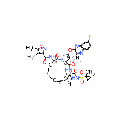 Cc1nc2ccc(F)cc2nc1O[C@@H]1C[C@H]2C(=O)N[C@]3(C(=O)NS(=O)(=O)C4(C)CC4)C[C@H]3/C=C\CCCCC[C@H](NC(=O)c3noc(C)c3C)C(=O)N2C1